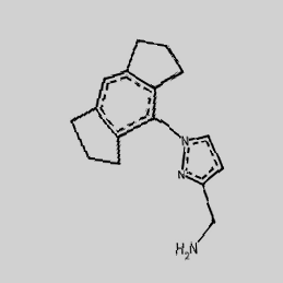 NCc1ccn(-c2c3c(cc4c2CCC4)CCC3)n1